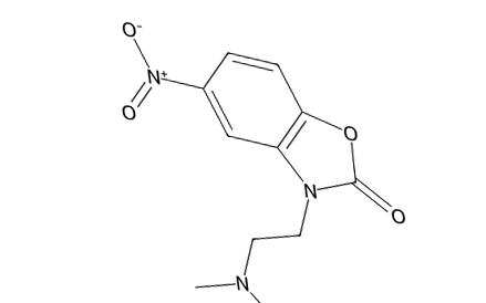 CN(C)CCn1c(=O)oc2ccc([N+](=O)[O-])cc21